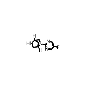 Fc1cnc(N2C[C@@H]3C[C@H]2CN3)nc1